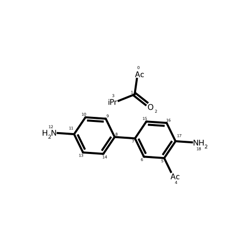 CC(=O)C(=O)C(C)C.CC(=O)c1cc(-c2ccc(N)cc2)ccc1N